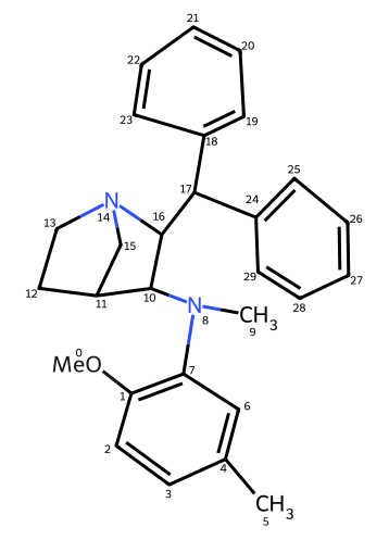 COc1ccc(C)cc1N(C)C1C2CCN(C2)C1C(c1ccccc1)c1ccccc1